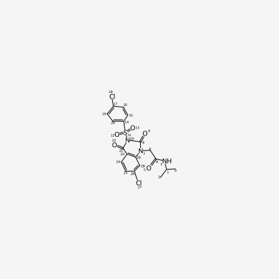 CC(C)NC(=O)Cn1c(=O)n(S(=O)(=O)c2ccc(Cl)cc2)c(=O)c2ccc(Cl)cc21